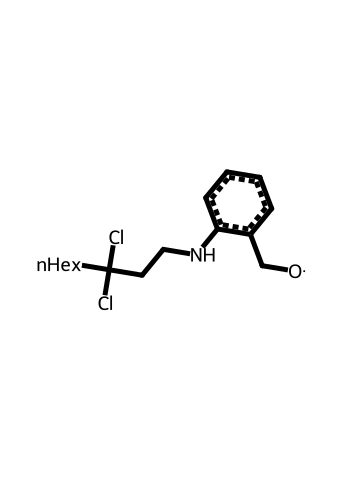 CCCCCCC(Cl)(Cl)CCNc1ccccc1C[O]